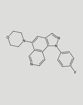 Fc1ccc(-n2ncc3cc(N4CCOCC4)c4cnccc4c32)cc1